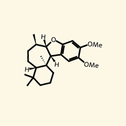 COc1cc2c(cc1OC)[C@H]1[C@@H](O2)[C@H](C)CC[C@H]2C(C)(C)CCC[C@]12C